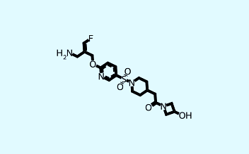 NC/C(=C/F)COc1ccc(S(=O)(=O)N2CCC(CC(=O)N3CC(O)C3)CC2)cn1